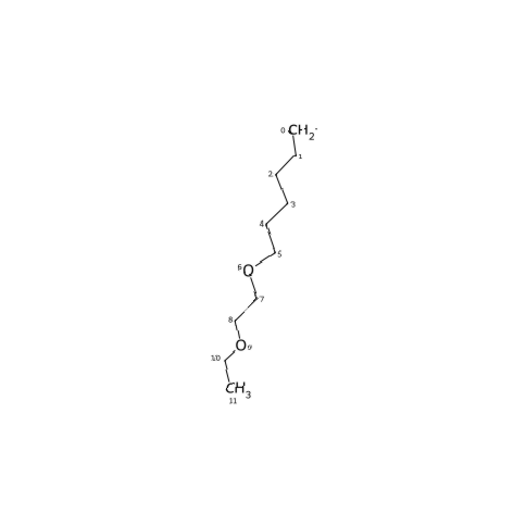 [CH2]CCCCCOCCOCC